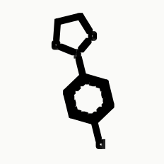 Clc1ccc(B2OCCO2)cc1